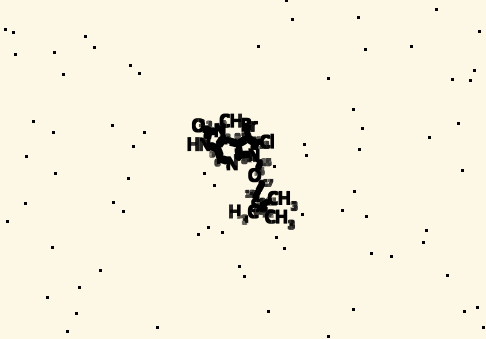 Cn1c(=O)[nH]c2cnc3c(c(Br)c(Cl)n3COCC[Si](C)(C)C)c21